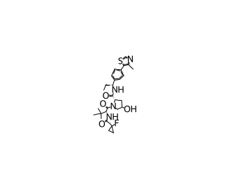 CC[C@H](NC(=O)[C@@H]1C[C@@H](O)CN1C(=O)[C@H](NC(=O)C1(F)CC1)C(C)(C)C)c1ccc(-c2scnc2C)cc1